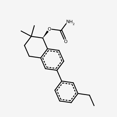 CCc1cccc(-c2ccc3c(c2)CCC(C)(C)[C@H]3OC(N)=O)c1